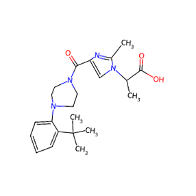 Cc1nc(C(=O)N2CCN(c3ccccc3C(C)(C)C)CC2)cn1C(C)C(=O)O